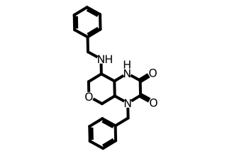 O=C1NC2C(NCc3ccccc3)COCC2N(Cc2ccccc2)C1=O